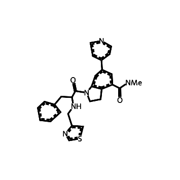 CNC(=O)c1cc(-c2ccncc2)cc2c1CCN2C(=O)C(Cc1ccccc1)NCc1cscn1